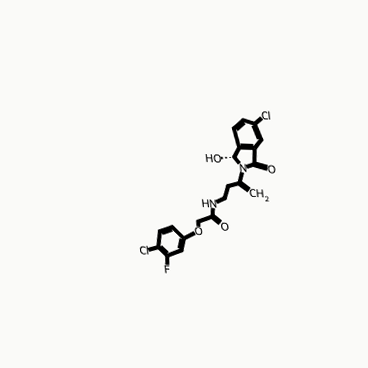 C=C(CCNC(=O)COc1ccc(Cl)c(F)c1)N1C(=O)c2cc(Cl)ccc2[C@H]1O